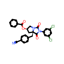 N#Cc1ccc(C[C@@]23C[C@@H](OC(=O)c4ccccc4)CN2C(=O)N(c2cc(Cl)cc(Cl)c2)C3=O)cc1